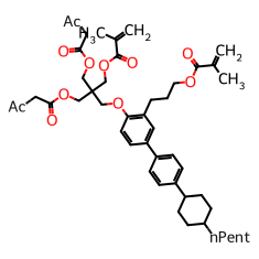 C=C(C)C(=O)OCCCc1cc(-c2ccc(C3CCC(CCCCC)CC3)cc2)ccc1OCC(COC(=O)CC(C)=O)(COC(=O)CC(C)=O)COC(=O)C(=C)C